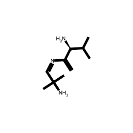 C=C(/N=C\C(C)(C)N)[C@@H](N)C(C)C